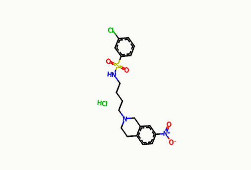 Cl.O=[N+]([O-])c1ccc2c(c1)CN(CCCCNS(=O)(=O)c1cccc(Cl)c1)CC2